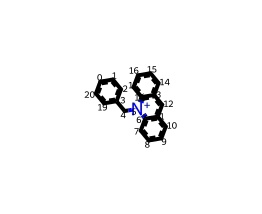 c1ccc(C[n+]2c3ccccc3cc3ccccc32)cc1